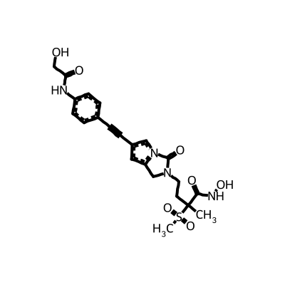 CC(CCN1Cc2cc(C#Cc3ccc(NC(=O)CO)cc3)cn2C1=O)(C(=O)NO)S(C)(=O)=O